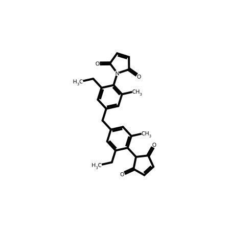 CCc1cc(Cc2cc(C)c(N3C(=O)C=CC3=O)c(CC)c2)cc(C)c1C1C(=O)C=CC1=O